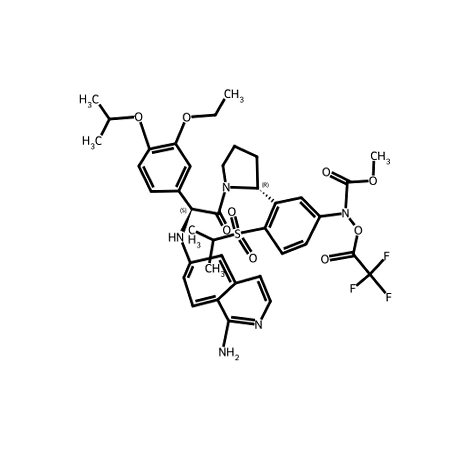 CCOc1cc([C@H](Nc2ccc3c(N)nccc3c2)C(=O)N2CCC[C@@H]2c2cc(N(OC(=O)C(F)(F)F)C(=O)OC)ccc2S(=O)(=O)C(C)C)ccc1OC(C)C